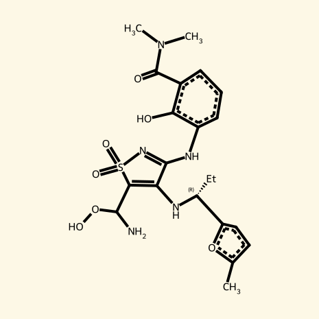 CC[C@@H](NC1=C(C(N)OO)S(=O)(=O)N=C1Nc1cccc(C(=O)N(C)C)c1O)c1ccc(C)o1